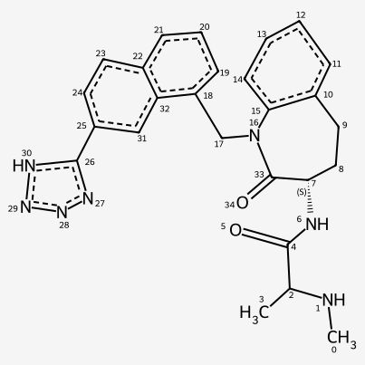 CNC(C)C(=O)N[C@H]1CCc2ccccc2N(Cc2cccc3ccc(-c4nnn[nH]4)cc23)C1=O